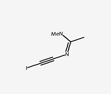 CN/C(C)=N\C#CI